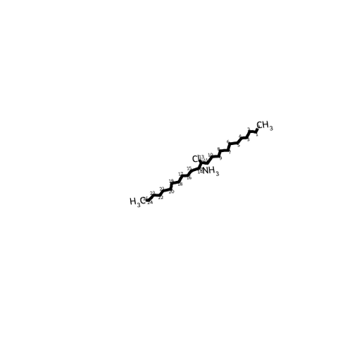 CCCCCCCCCCCCC(Cl)CCCCCCCCCCCC.N